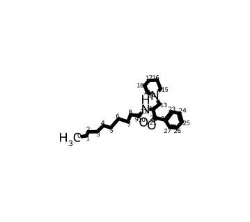 CCCCCCCCCC(=O)NC(CN1CCCCC1)C(=O)c1ccccc1